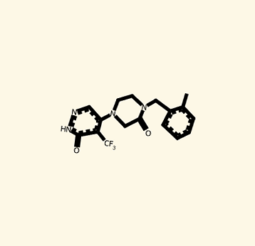 Cc1ccccc1CN1CCN(c2cn[nH]c(=O)c2C(F)(F)F)CC1=O